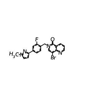 Cn1ccc(-c2ccc(Cn3cc(Br)c4ncccc4c3=O)c(F)c2)n1